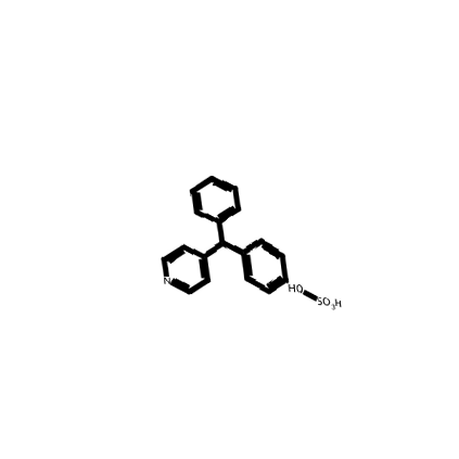 O=S(=O)(O)O.c1ccc(C(c2ccccc2)c2ccncc2)cc1